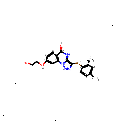 Cc1ccc(Sc2nnn3c2[nH]c(=O)c2ccc(OCCO)cc23)c(C)c1